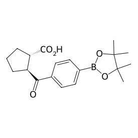 CC1(C)OB(c2ccc(C(=O)[C@H]3CCC[C@@H]3C(=O)O)cc2)OC1(C)C